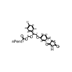 CCCCCC(=O)OCOC(COc1ccc(C[C@@H]2SC(=O)NC2=O)cc1)c1ccc(C)cc1